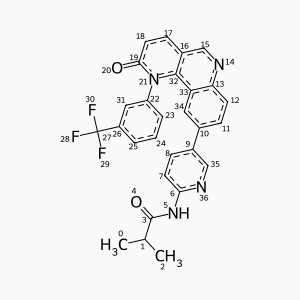 CC(C)C(=O)Nc1ccc(-c2ccc3ncc4ccc(=O)n(-c5cccc(C(F)(F)F)c5)c4c3c2)cn1